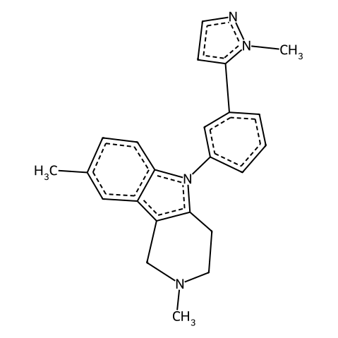 Cc1ccc2c(c1)c1c(n2-c2cccc(-c3ccnn3C)c2)CCN(C)C1